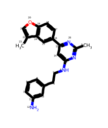 Cc1nc(NCCc2cccc(N)c2)cc(-c2ccc3occ(C)c3c2)n1